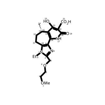 CCn1c(COCCOC)nc2c1CC[C@H](C)c1c-2[nH]c(=O)c(C(=O)O)c1O